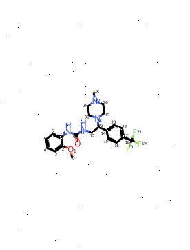 COc1ccccc1NC(=O)NCC(c1ccc(C(F)(F)F)cc1)N1CCN(C)CC1